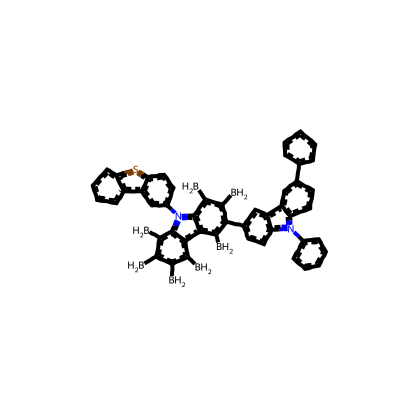 Bc1c(B)c(B)c2c(c1B)c1c(B)c(-c3ccc4c(c3)c3cc(-c5ccccc5)ccc3n4-c3ccccc3)c(B)c(B)c1n2-c1ccc2sc3ccccc3c2c1